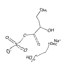 CCCCCCCCCCCC(=O)O.O=C(OS(=O)(=O)[O-])C(O)CO.[Na+]